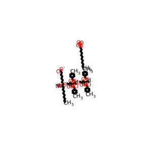 CCCCCCCCCCCCCCCCCC(=O)[O-].CCCCCCCCCCCCOS(=O)(=O)[O-].Cc1ccc(C2OC[C@@H]3OC(c4ccc(C)cc4)O[C@H]([C@H](O)CO)[C@@H]3O2)cc1.Cc1ccc(C2OC[C@@H]3OC(c4ccc(C)cc4)O[C@H]([C@H](O)CO)[C@@H]3O2)cc1.[Na+].[Na+]